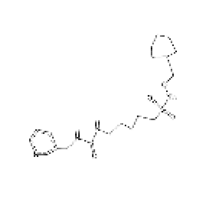 O=C(NCCCCCS(=O)(=O)NOCC1CCCCC1)NCc1cccnc1